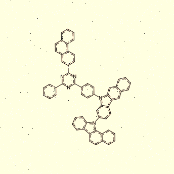 c1ccc(-c2nc(-c3ccc(-n4c5cc(-n6c7ccccc7c7ccc8ccccc8c76)ccc5c5cc6ccccc6cc54)cc3)nc(-c3ccc4c(ccc5ccccc54)c3)n2)cc1